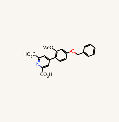 COc1cc(OCc2ccccc2)ccc1-c1cc(C(=O)O)nc(C(=O)O)c1